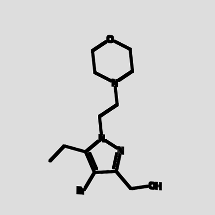 CCc1c(Br)c(CO)nn1CCN1CCOCC1